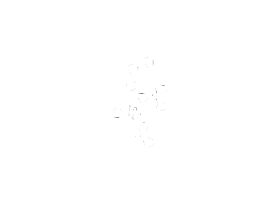 c1ccc(-c2cccc(-c3ccc4sc5c(-c6nc(-c7ccccc7)nc(-c7ccc8c(c7)oc7ccccc78)n6)cc(-n6c7ccccc7c7ccccc76)cc5c4c3)c2)cc1